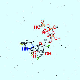 O=P(O)(O)OP(=O)(O)OP(=O)(O)OC[C@@]1(F)O[C@@H](n2ccc(=S)[nH]c2=S)C(O)(CF)[C@H]1O